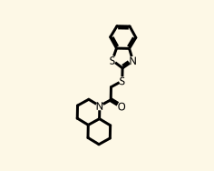 O=C(CSc1nc2ccccc2s1)N1CCCC2CCCCC21